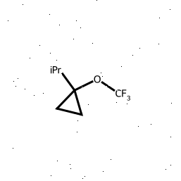 CC(C)C1(OC(F)(F)F)CC1